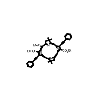 CCOC(=O)c1c(C#Cc2ccccc2)c2cc3nc(c(OC)c4[nH]c(cc5nc(cc1[nH]2)CC5(C)C)c(C#Cc1ccccc1)c4C(=O)OCC)CC3(C)C